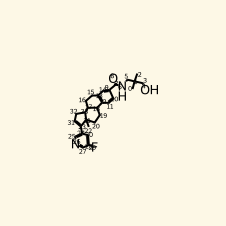 CC(C)(CO)CNC(=O)c1ccc2c(c1)CCC1C2CCC2(C)C(c3cncc(F)c3)=CCC12